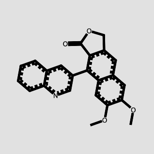 COc1cc2cc3c(c(-c4cnc5ccccc5c4)c2cc1OC)C(=O)OC3